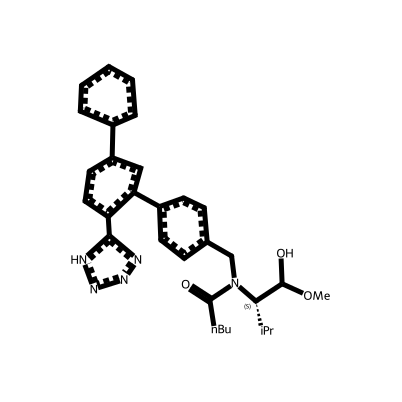 CCCCC(=O)N(Cc1ccc(-c2cc(-c3ccccc3)ccc2-c2nnn[nH]2)cc1)[C@@H](C(C)C)C(O)OC